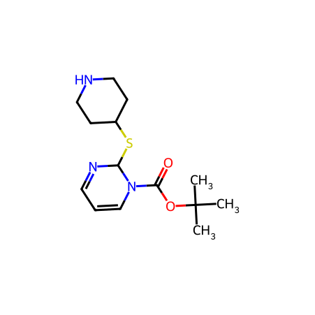 CC(C)(C)OC(=O)N1C=CC=NC1SC1CCNCC1